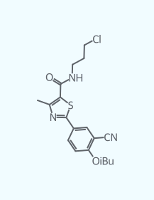 Cc1nc(-c2ccc(OCC(C)C)c(C#N)c2)sc1C(=O)NCCCCl